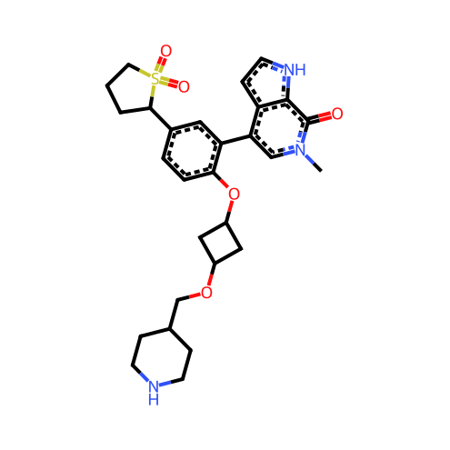 Cn1cc(-c2cc(C3CCCS3(=O)=O)ccc2OC2CC(OCC3CCNCC3)C2)c2cc[nH]c2c1=O